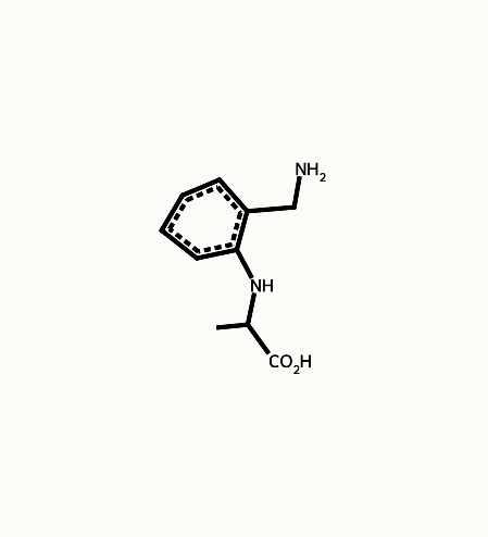 CC(Nc1ccccc1CN)C(=O)O